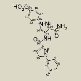 C=C/C=C(\C=C/C)C1=NC(C(=O)Nc2cn(-c3ccc(C(=O)O)cc3)nc2C(N)=O)=CC1